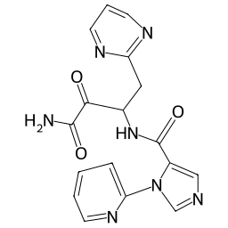 NC(=O)C(=O)C(Cc1ncccn1)NC(=O)c1cncn1-c1ccccn1